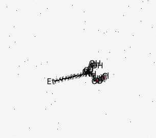 CCC=CCC=CCC=CCC=CCC=CCC=CCCC(=O)NC(CCCCNC(=O)C(C)(C)Oc1ccc(Cl)cc1)C(=O)OCC(CO)CO